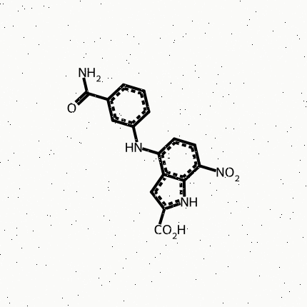 NC(=O)c1cccc(Nc2ccc([N+](=O)[O-])c3[nH]c(C(=O)O)cc23)c1